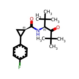 CC(C)(C)C(=O)[C@@H](NC(=O)[C@@H]1CC1c1ccc(F)cc1)C(C)(C)C